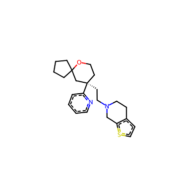 c1ccc([C@]2(CCN3CCc4ccsc4C3)CCOC3(CCCC3)C2)nc1